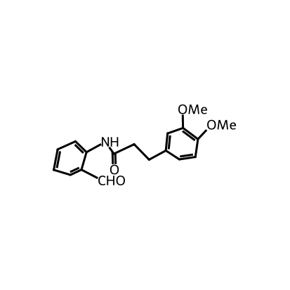 COc1ccc(CCC(=O)Nc2ccccc2C=O)cc1OC